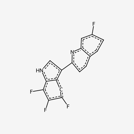 Fc1ccc2ccc(-c3c[nH]c4c(F)c(F)c(F)cc34)nc2c1